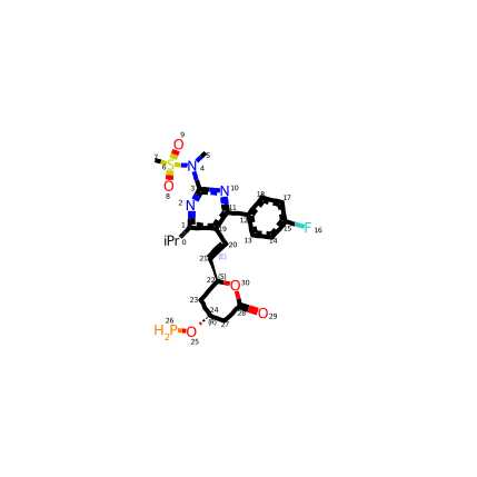 CC(C)c1nc(N(C)S(C)(=O)=O)nc(-c2ccc(F)cc2)c1/C=C/[C@@H]1C[C@@H](OP)CC(=O)O1